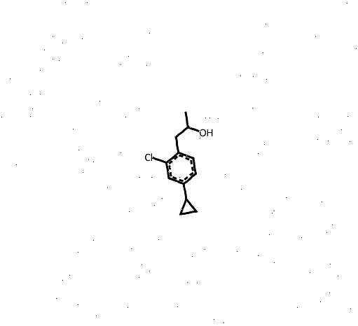 CC(O)Cc1ccc(C2CC2)cc1Cl